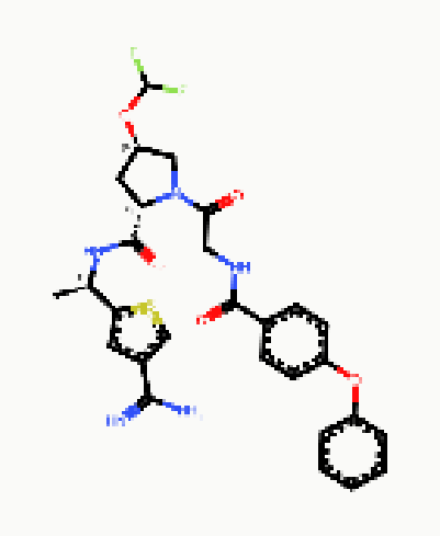 C[C@@H](NC(=O)[C@@H]1C[C@@H](OC(F)F)CN1C(=O)CNC(=O)c1ccc(Oc2ccccc2)cc1)c1cc(C(=N)N)cs1